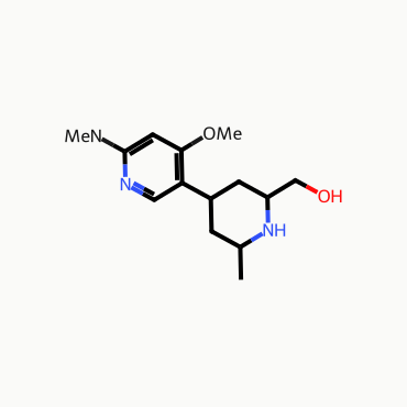 CNc1cc(OC)c(C2CC(C)NC(CO)C2)cn1